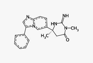 CN1C(=N)N[C@](C)(c2ccc3ncc(-c4ccccc4)n3c2)CC1=O